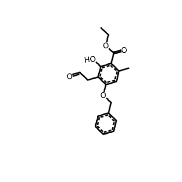 CCOC(=O)c1c(C)cc(OCc2ccccc2)c(CC=O)c1O